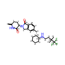 C=C1CCC(N2Cc3cc(C[C@H]4CCCC[C@@H]4NCCC(C)(C)C(F)(F)F)ccc3C2=O)C(=O)N1